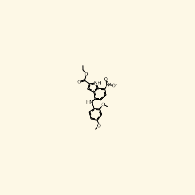 CCOC(=O)c1cc2c(Nc3ccc(OC)cc3OC)ccc([N+](=O)[O-])c2[nH]1